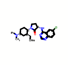 COC[C@H]1C[C@H](N(C)C(C)C)CC[C@@H]1N1CC[C@H](Nc2ncnc3ccc(Cl)cc23)C1=O